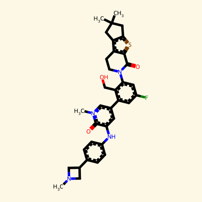 CN1CC(c2ccc(Nc3cc(-c4cc(F)cc(N5CCc6c(sc7c6CC(C)(C)C7)C5=O)c4CO)cn(C)c3=O)cc2)C1